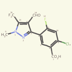 Cn1nc(-c2cc(C(=O)O)c(Cl)cc2F)c(C=O)c1C(F)(F)F